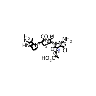 Cc1c(N)[nH]c2ccc[n+](CC3=C(C(=O)O)N4C(=O)[C@@H](NC(=O)/C(=N\O[C@@H](C)C(=O)O)c5nc(N)sc5Cl)C4SC3)c12